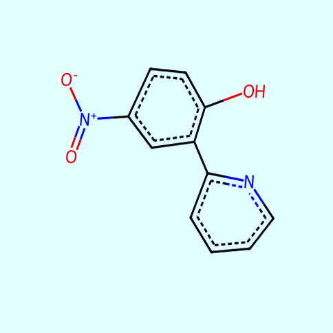 O=[N+]([O-])c1ccc(O)c(-c2ccccn2)c1